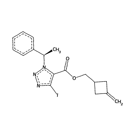 C=C1CC(COC(=O)c2c(I)nnn2[C@H](C)c2ccccc2)C1